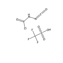 O=C=NNC(=O)Cl.O=S(=O)(O)C(F)(F)F